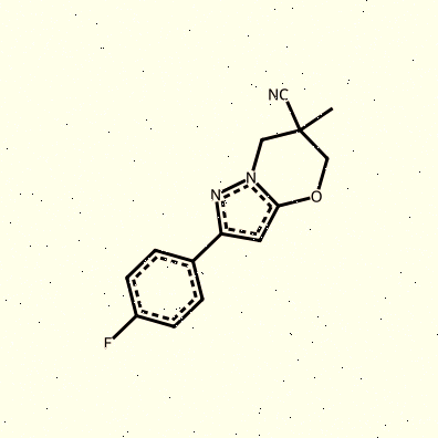 CC1(C#N)COc2cc(-c3ccc(F)cc3)nn2C1